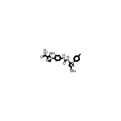 Cc1ccc(-n2nc(C(C)(C)C)cc2NC(=O)Nc2ccc(-n3cnc(C(N)=O)c3N)cc2)cc1